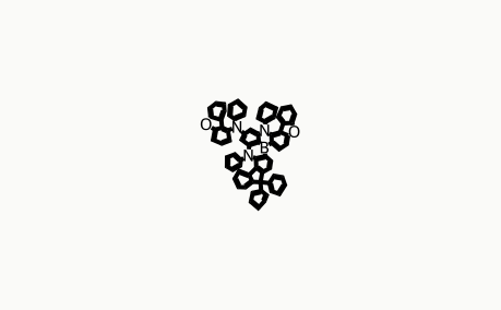 c1ccc(N2c3cc(N(c4ccccc4)c4cccc5oc6ccccc6c45)cc4c3B(c3ccc5c(c32)-c2ccccc2C5(c2ccccc2)c2ccccc2)c2ccc3oc5ccccc5c3c2N4c2ccccc2)cc1